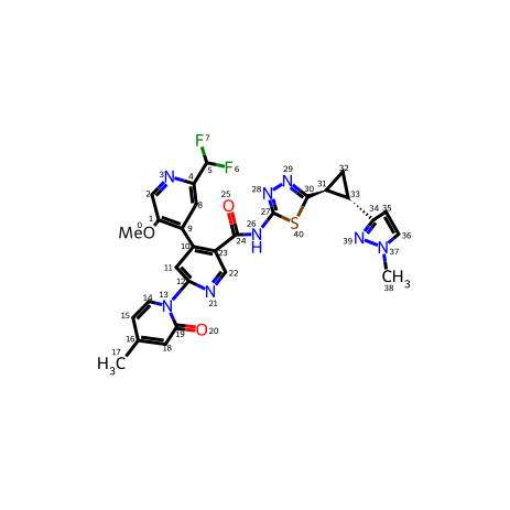 COc1cnc(C(F)F)cc1-c1cc(-n2ccc(C)cc2=O)ncc1C(=O)Nc1nnc([C@H]2C[C@@H]2c2ccn(C)n2)s1